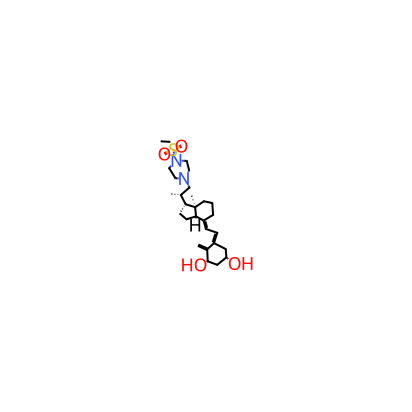 C=C1/C(=C\C=C2/CCC[C@]3(C)[C@@H]([C@H](C)CN4CCN(S(=O)(=O)CC)CC4)CC[C@@H]23)C[C@@H](O)C[C@@H]1O